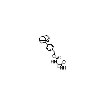 O=C(N[C@H]1CNC1=O)OCc1ccc(C23CC4CC(CC(C4)C2)C3)cc1